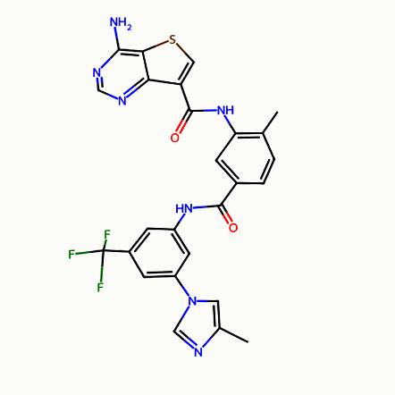 Cc1cn(-c2cc(NC(=O)c3ccc(C)c(NC(=O)c4csc5c(N)ncnc45)c3)cc(C(F)(F)F)c2)cn1